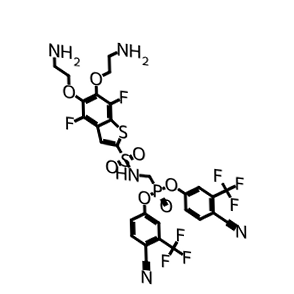 N#Cc1ccc(OP(=O)(CNS(=O)(=O)c2cc3c(F)c(OCCN)c(OCCN)c(F)c3s2)Oc2ccc(C#N)c(C(F)(F)F)c2)cc1C(F)(F)F